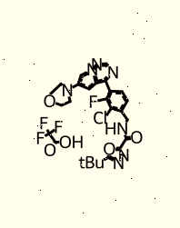 CC(C)(C)c1nnc(C(=O)NCc2ccc(-c3ncnn4cc(N5CCOCC5)cc34)c(F)c2Cl)o1.O=C(O)C(F)(F)F